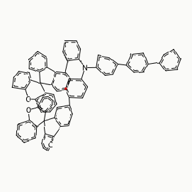 c1ccc(-c2ccc(-c3ccc(N(c4ccc(-c5ccc6c(c5)C5(c7ccccc7Oc7ccccc75)c5ccccc5-6)cc4)c4ccccc4-c4cccc5c4-c4ccccc4C54c5ccccc5Oc5ccccc54)cc3)cc2)cc1